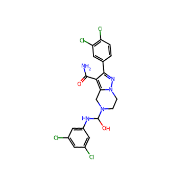 NC(=O)c1c(-c2ccc(Cl)c(Cl)c2)nn2c1CN(C(O)Nc1cc(Cl)cc(Cl)c1)CC2